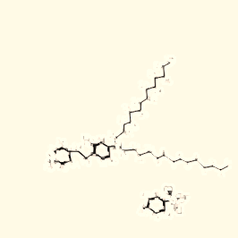 CCCCCCCCCCCCCCN(CCCCCCCCCCCCCC)c1ccc(C=Cc2cc[n+](C)cc2)c(F)c1.Cc1ccc(S(=O)(=O)[O-])cc1